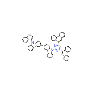 c1ccc2c(-n3c4ccccc4c4cc(-c5ccc6c(c5)c5ccccc5n6-c5nc(-c6cc7ccccc7c7ccccc67)cc(-c6cc7ccccc7c7ccccc67)n5)ccc43)cccc2c1